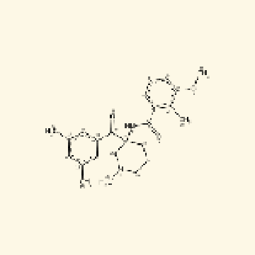 COc1cccc(C(=O)NC2(C(=O)c3cc(C)cc(C)c3)CCCN(C)C2)c1C